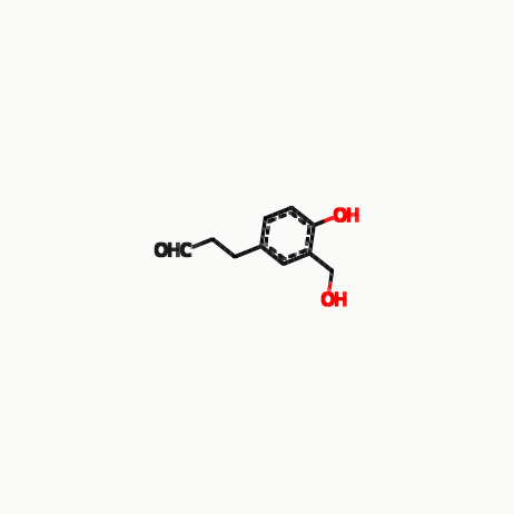 O=CCCc1ccc(O)c(CO)c1